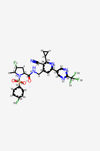 CC1C(F)CC(C(=O)NCc2cc(-c3cnc(C(F)(F)F)nc3)nc(C3CC3)c2C#N)N1S(=O)(=O)c1ccc(F)cc1